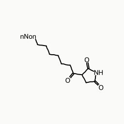 CCCCCCCCCCCCCCCC(=O)C1CC(=O)NC1=O